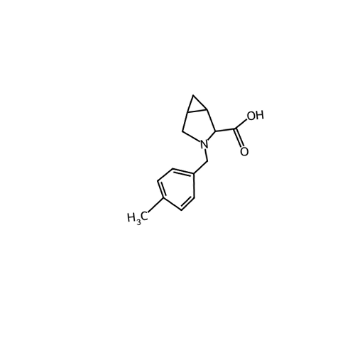 Cc1ccc(CN2CC3CC3C2C(=O)O)cc1